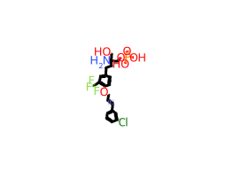 NC(CO)(CCc1ccc(OC/C=C/c2cccc(Cl)c2)c(C(F)(F)F)c1)COP(=O)(O)O